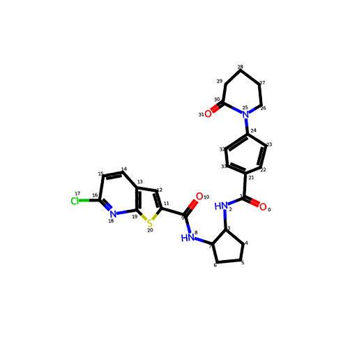 O=C(NC1CCCC1NC(=O)c1cc2ccc(Cl)nc2s1)c1ccc(N2CCCCC2=O)cc1